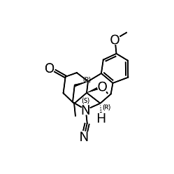 COc1ccc2c(c1)[C@]13CCN(C#N)[C@H](C2)[C@]1(OC)C(C)CC(=O)C3